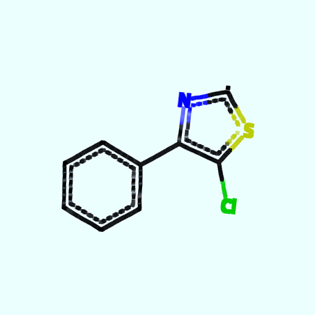 Clc1s[c]nc1-c1ccccc1